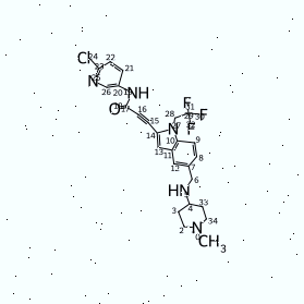 CN1CCC(NCc2ccc3c(c2)cc(C#CC(=O)Nc2ccc(Cl)nc2)n3CC(F)(F)F)CC1